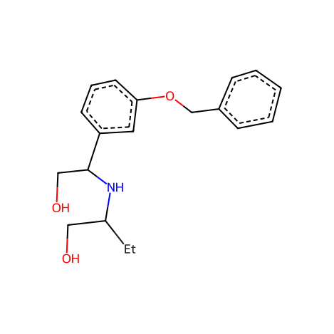 CCC(CO)NC(CO)c1cccc(OCc2ccccc2)c1